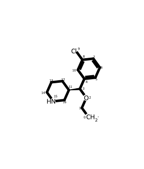 [CH2]COC(c1cccc(Cl)c1)[C@@H]1CCCNC1